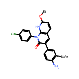 CCOC1C=Cc2cc(-c3ccc(N)c(NC)c3)c(=O)n(-c3ccc(Cl)cc3)c2N1